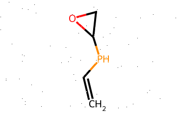 C=CPC1CO1